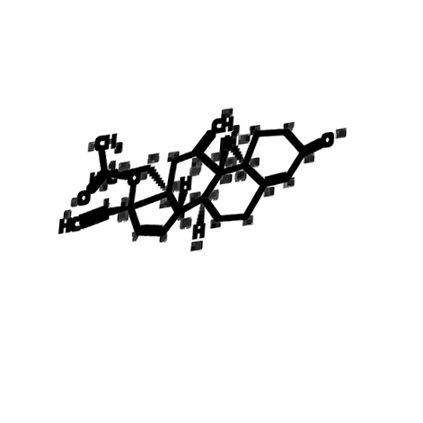 C#C[C@]1(OC(C)=O)C=C[C@H]2[C@@H]3CCC4=CC(=O)CC[C@@H]4[C@H]3C(=C)C[C@@]21CC